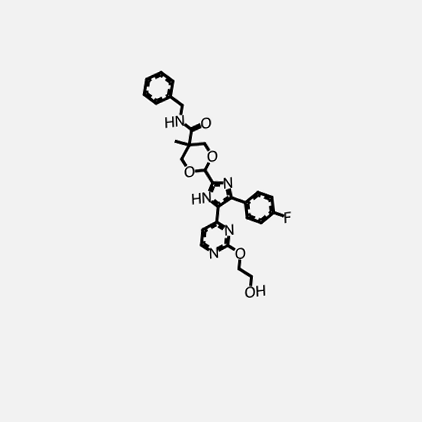 CC1(C(=O)NCc2ccccc2)COC(c2nc(-c3ccc(F)cc3)c(-c3ccnc(OCCO)n3)[nH]2)OC1